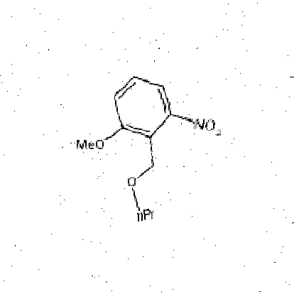 CCCOCc1c(OC)cccc1[N+](=O)[O-]